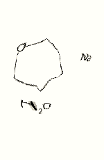 C1CCOC1.O.[Na]